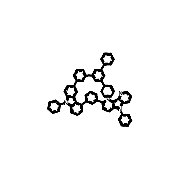 C1=CCC(c2cc(-c3ccccc3)cc(-c3cccc(-c4ccc5c(c4)c4c(-c6cccc(-c7ccc8c(n7)c7ncccc7n8-c7ccccc7)c6)cccc4n5-c4ccccc4)c3)c2)C=C1